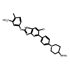 CC(=O)NC1CCN(c2ccc(-c3nc4nc(Oc5ccc(C)c(C(=O)O)c5)[nH]c4cc3Cl)cc2)CC1